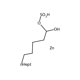 CCCCCCCCCCCC(O)OS(=O)(=O)O.[Zn]